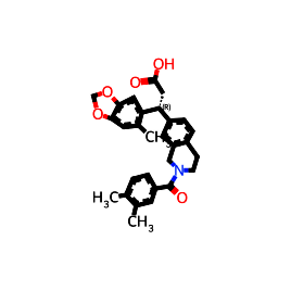 Cc1ccc(C(=O)N2CCc3ccc([C@@H](CC(=O)O)c4cc5c(cc4C)OCO5)cc3C2)cc1C